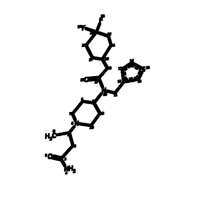 CC(CC(N)=O)N1CCC(N(Cc2ccsc2)C(=O)CC2CCC(F)(F)CC2)CC1